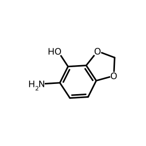 Nc1ccc2c(c1O)OCO2